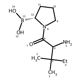 CCC(C)(C)C(N)C(=O)N1CCC[C@H]1B(O)O